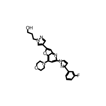 OCCCn1cc(-c2cc3nc(-n4ccc(-c5cccc(F)c5)n4)cc(N4CCOCC4)c3o2)cn1